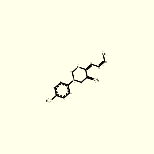 C=C1CN(c2ccc(C)cc2)CO/C1=C/C=C\C